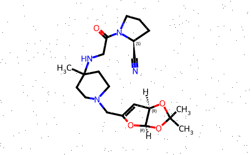 CC1(NCC(=O)N2CCC[C@H]2C#N)CCN(CC2=C[C@H]3OC(C)(C)O[C@H]3O2)CC1